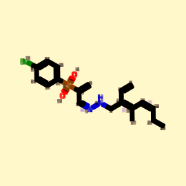 C=C/C(CN/N=C\C(=C)S(=O)(=O)c1ccc(Br)cc1)=C(C)\C=C/CC